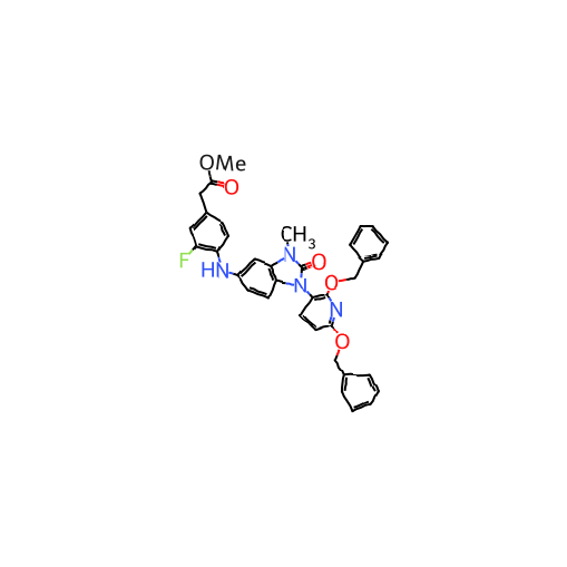 COC(=O)Cc1ccc(Nc2ccc3c(c2)n(C)c(=O)n3-c2ccc(OCc3ccccc3)nc2OCc2ccccc2)c(F)c1